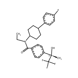 CCN(C(=O)c1ccc([C@](C)(O)C(F)(F)F)cc1)C1CCC(c2ccc(F)cc2)CC1